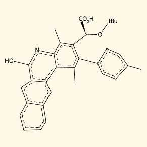 Cc1ccc(-c2c([C@H](OC(C)(C)C)C(=O)O)c(C)c3nc(O)c4cc5ccccc5cc4c3c2C)cc1